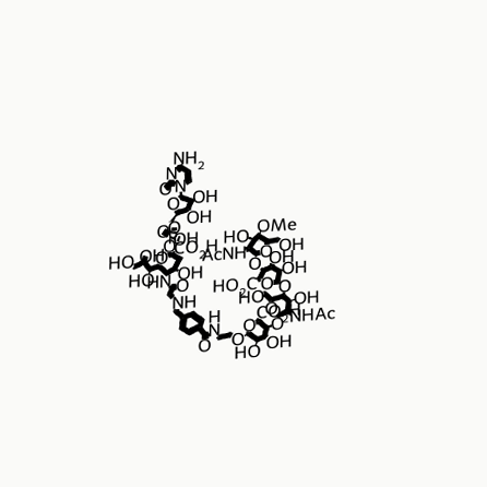 CO[C@@H]1C(CO)O[C@H](O[C@@H]2C(C(=O)O)O[C@@H](O[C@@H]3C(CO)O[C@H](O[C@@H]4C(C(=O)O)O[C@@H](OCCNC(=O)c5ccc(CNCC(=O)N[C@H]6C([C@H](O)C(O)CO)O[C@](OP(=O)(O)OC[C@H]7O[C@@H](n8ccc(N)nc8=O)[C@@H](O)C7O)(C(=O)O)C[C@H]6O)cc5)[C@@H](O)C4O)C(NC(C)=O)[C@H]3O)[C@@H](O)C2O)C(NC(C)=O)[C@H]1O